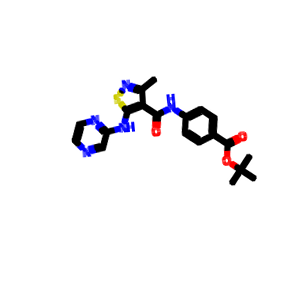 Cc1nsc(Nc2cnccn2)c1C(=O)Nc1ccc(C(=O)OC(C)(C)C)cc1